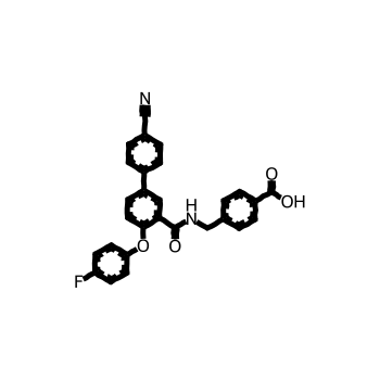 N#Cc1ccc(-c2ccc(Oc3ccc(F)cc3)c(C(=O)NCc3ccc(C(=O)O)cc3)c2)cc1